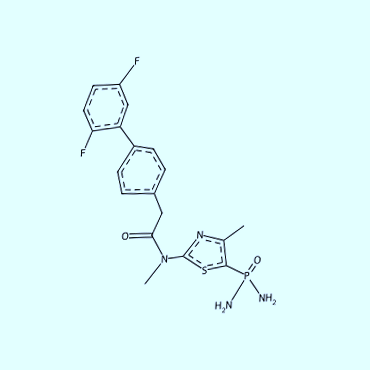 Cc1nc(N(C)C(=O)Cc2ccc(-c3cc(F)ccc3F)cc2)sc1P(N)(N)=O